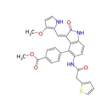 COC(=O)c1ccc(-c2c(NC(=O)Cc3cccs3)ccc3c2C(=Cc2[nH]ccc2OC)C(=O)N3)cc1